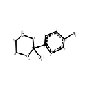 OC1(c2ccc(Br)cc2)COCCO1